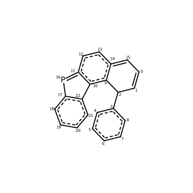 C1=CC(c2ccccc2)c2c3c(ccc2=C1)=Pc1ccccc1-3